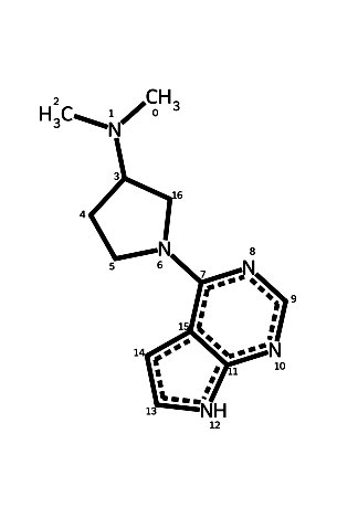 CN(C)C1CCN(c2ncnc3[nH]ccc23)C1